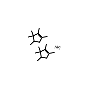 CC1=C(C)C(C)(C)C(C)C1.CC1=C(C)C(C)(C)C(C)C1.[Mg]